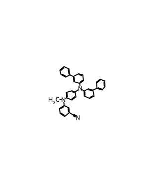 CN(c1ccc(N(c2cccc(-c3ccccc3)c2)c2cccc(-c3ccccc3)c2)cc1)c1cccc(C#N)c1